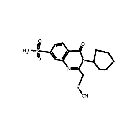 CS(=O)(=O)c1ccc2c(=O)n(C3CCCCC3)c(CSC#N)nc2c1